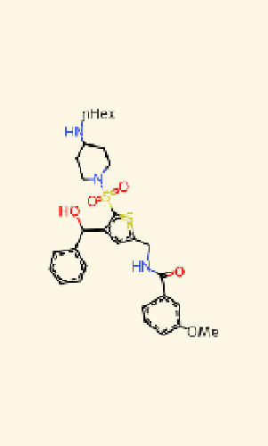 CCCCCCNC1CCN(S(=O)(=O)c2sc(CNC(=O)c3cccc(OC)c3)cc2C(O)c2ccccc2)CC1